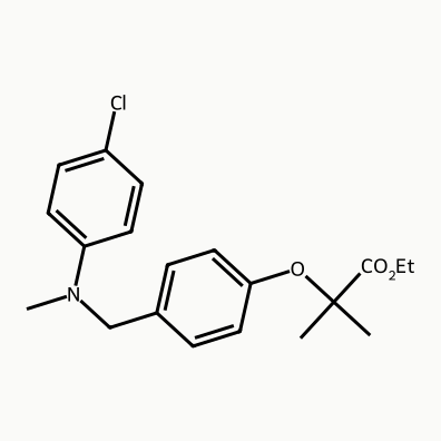 CCOC(=O)C(C)(C)Oc1ccc(CN(C)c2ccc(Cl)cc2)cc1